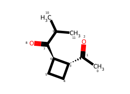 CC(=O)[C@@H]1CC[C@H]1C(=O)C(C)C